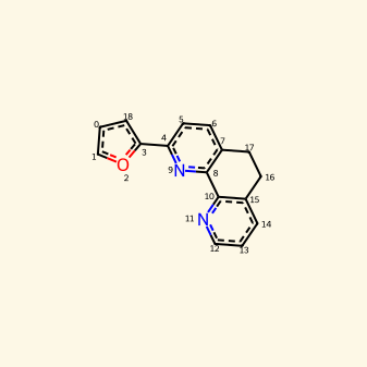 c1coc(-c2ccc3c(n2)-c2ncccc2CC3)c1